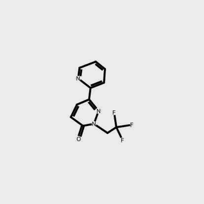 O=c1ccc(-c2ccccn2)nn1CC(F)(F)F